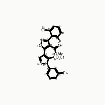 CCOC(=O)c1c(-c2onc(-c3c(F)cccc3Cl)c2C(=O)OC)cnn1-c1cccc(F)c1